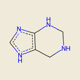 c1nc2c([nH]1)CNCN2